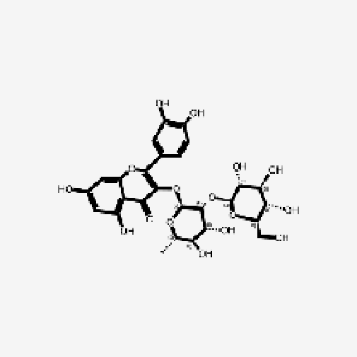 C[C@@H]1O[C@@H](Oc2c(-c3ccc(O)c(O)c3)oc3cc(O)cc(O)c3c2=O)[C@H](O[C@@H]2O[C@H](CO)[C@@H](O)[C@H](O)[C@H]2O)[C@H](O)[C@H]1O